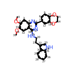 COc1cc2nc(-c3ccc4c(c3)OCCO4)nc(NCCc3c[nH]c4ccccc34)c2cc1OC